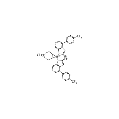 CC(C)C1=Cc2c(-c3ccc(C(F)(F)F)cc3)cccc2[CH]1[Hf+2]1([CH]2C(C(C)C)=Cc3c(-c4ccc(C(F)(F)F)cc4)cccc32)[CH]2CCCC[CH]21.[Cl-].[Cl-]